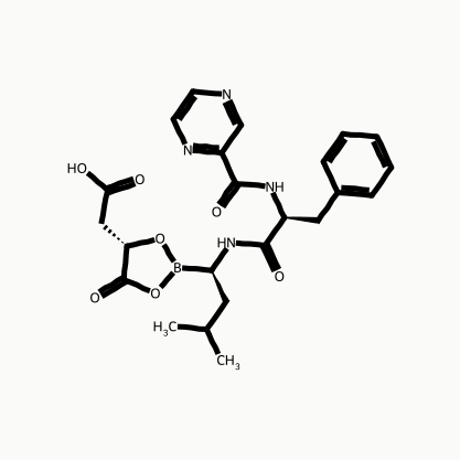 CC(C)C[C@H](NC(=O)[C@H](Cc1ccccc1)NC(=O)c1cnccn1)B1OC(=O)[C@H](CC(=O)O)O1